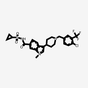 Cn1cc(C2CCN(Cc3ccc(Cl)c(C(F)(F)F)c3)CC2)c2ccc(C(=O)NS(=O)(=O)C3CC3)cc21